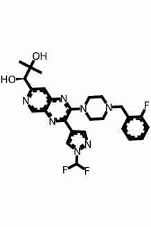 CC(C)(O)[C@H](O)c1cc2nc(N3CCN(Cc4ccccc4F)CC3)c(-c3cnn(C(F)F)c3)nc2cn1